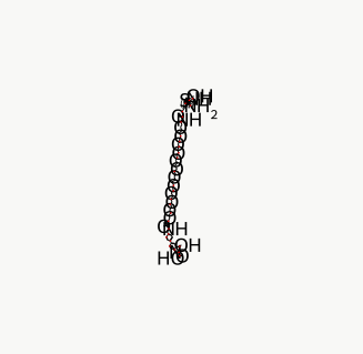 N[C@H]1[C@@H](NO)CS[C@H]1CCCCC(=O)NCCOCCOCCOCCOCCOCCOCCOCCOCCOCCOCCOCCOCCC(=O)NCc1ccc(-c2ccc3nc(C(=O)O)cc(O)c3c2)cc1